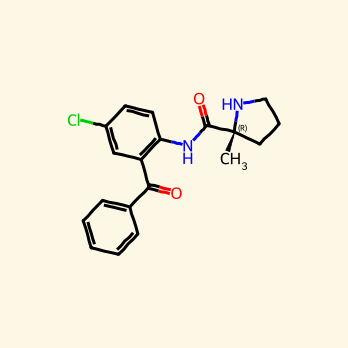 C[C@]1(C(=O)Nc2ccc(Cl)cc2C(=O)c2ccccc2)CCCN1